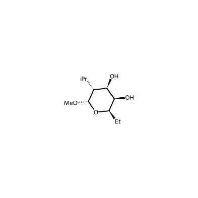 CC[C@H]1O[C@H](OC)[C@H](C(C)C)[C@@H](O)[C@H]1O